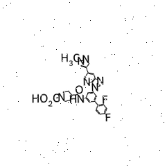 Cn1cc(-c2cnc3c(c2)ncn3-c2cc(NC(=O)C3CCN(C(=O)O)CC3)cc(-c3ccc(F)cc3F)c2)cn1